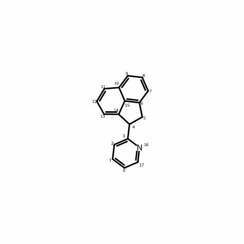 c1ccc(C2Cc3cccc4cccc2c34)nc1